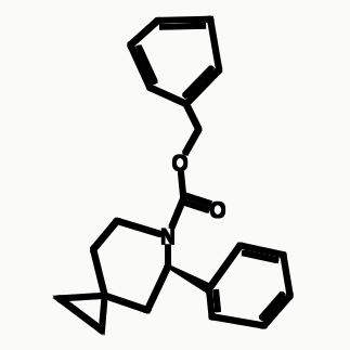 O=C(OCc1ccccc1)N1CCC2(CC2)C[C@@H]1c1ccccc1